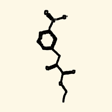 CCOC(=O)C(=O)Cc1cccc([N+](=O)[O-])c1